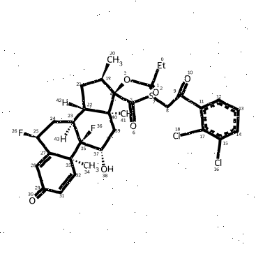 CCC(=O)O[C@]1(C(=O)SCC(=O)c2cccc(Cl)c2Cl)[C@H](C)C[C@H]2[C@@H]3C[C@H](F)C4=CC(=O)C=C[C@]4(C)[C@@]3(F)[C@@H](O)C[C@@]21C